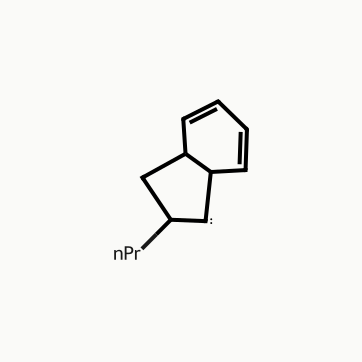 CCCC1[C]C2C=CC=CC2C1